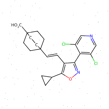 O=C(O)C12CCC(C=Cc3c(-c4c(Cl)cncc4Cl)noc3C3CC3)(CC1)CC2